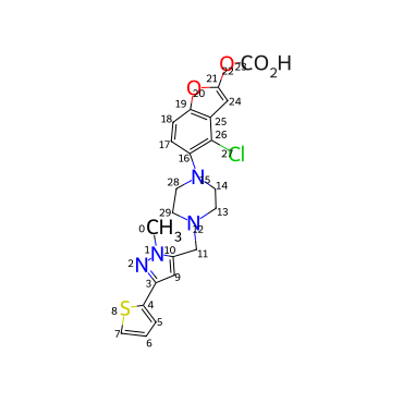 Cn1nc(-c2cccs2)cc1CN1CCN(c2ccc3oc(OC(=O)O)cc3c2Cl)CC1